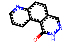 O=c1[nH]ncc2ccc3ncccc3c12